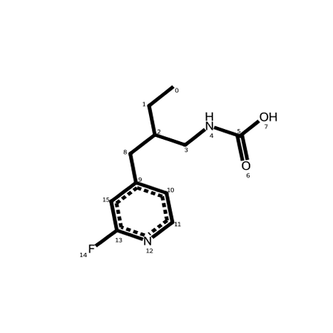 CCC(CNC(=O)O)Cc1ccnc(F)c1